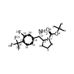 CC(C)(C)OC(=O)N1CCC[C@H]1[C@@H](N)c1ccc(C(F)(F)F)c(F)c1